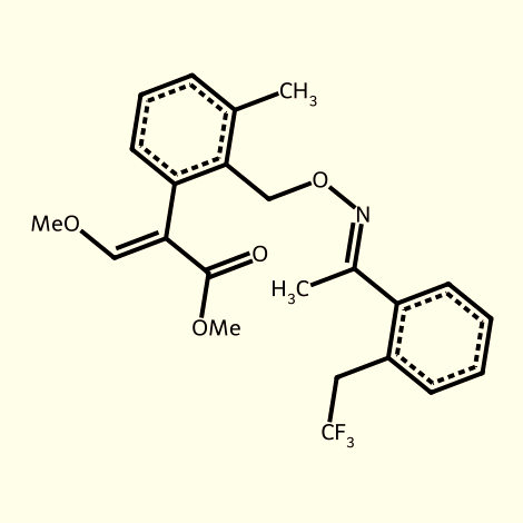 CO/C=C(/C(=O)OC)c1cccc(C)c1CO/N=C(\C)c1ccccc1CC(F)(F)F